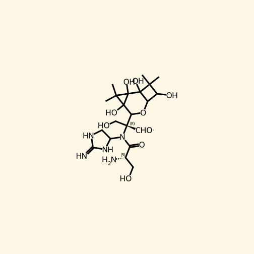 CC1(C)C(O)C2OC([C@@]([C]=O)(CO)N(C(=O)[C@@H](N)CO)C3CNC(=N)N3)C3(O)C(C)(C)C3(O)C21O